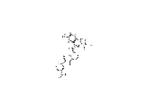 CNc1cccc(C(=O)N[C@@H]2CCC[C@H](Nc3cc(C(F)(F)F)nc4ccc(Cl)cc34)C2)c1